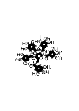 O=C(OCC1O[C@@H](OC(=O)c2cc(O)c(O)c(O)c2)C(OC(=O)c2cc(O)c(O)c(O)c2)[C@@H](OC(=O)c2cc(O)c(O)c(O)c2)[C@@H]1OC(=O)c1cc(O)c(O)c(O)c1)c1cc(O)c(O)c(O)c1